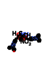 CC1=C(C(=O)OCCCc2ccc(N3CCN(C(c4ccccc4)c4ccccc4)CC3)cc2)C(c2cccc([N+](=O)[O-])c2)C(C(=O)OCCCc2ccc(N3CCN(C(c4ccccc4)c4ccccc4)CC3)cc2)=C(C)N1